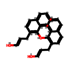 OC=CCc1ccc2ccccc2c1Oc1c(CC=CO)ccc2ccccc12